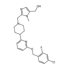 Cn1c(CO)cnc1CN1CCC(c2cccc(OCc3ccc(Cl)cc3F)n2)CC1